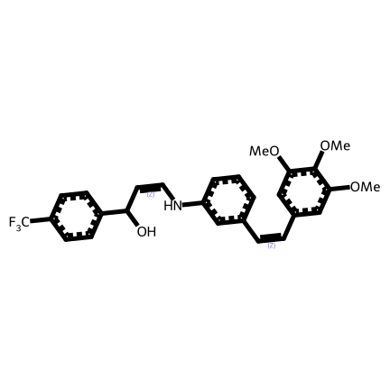 COc1cc(/C=C\c2cccc(N/C=C\C(O)c3ccc(C(F)(F)F)cc3)c2)cc(OC)c1OC